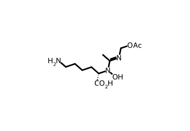 CC(=O)OC/N=C(\C)N(O)[C@@H](CCCCN)C(=O)O